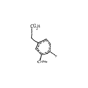 COc1cc(CC(=O)O)ccc1F